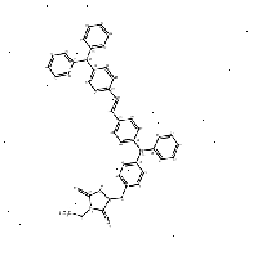 O=C(O)CN1C(=O)C(Cc2ccc(N(c3ccccc3)c3ccc(/C=C/c4ccc(N(c5ccccc5)c5ccccc5)cc4)cc3)cc2)SC1=S